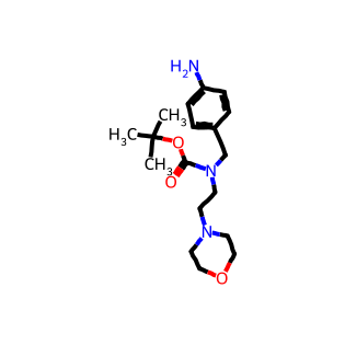 CC(C)(C)OC(=O)N(CCN1CCOCC1)Cc1ccc(N)cc1